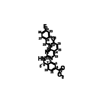 COC(=O)c1ccc([C@H](C)Nc2ncc3ccc(=O)n(Cc4ccc(F)cc4)c3n2)cc1